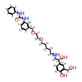 O=C(Nc1ccccc1)Nc1cccc(COCCOCCCCCNC[C@@H](O)c2ccc(O)c(CO)c2)c1